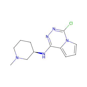 CN1CCC[C@@H](Nc2nnc(Cl)n3cccc23)C1